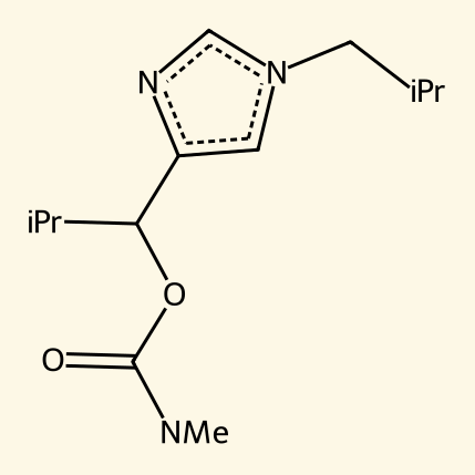 CNC(=O)OC(c1cn(CC(C)C)cn1)C(C)C